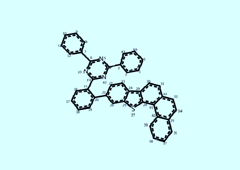 c1ccc(-c2nc(-c3ccccc3)nc(-c3ccccc3-c3ccc4c(c3)sc3c4ccc4ccc5ccccc5c43)n2)cc1